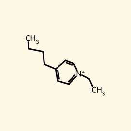 CCCCc1cc[n+](CC)cc1